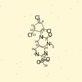 CN1C(=O)N(c2c(Cl)cc(Cl)cc2Cl)Cc2cnc(S(C)(=O)=O)nc21